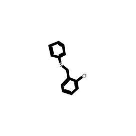 Clc1ccccc1CSc1cc[c]cc1